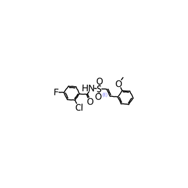 COc1ccccc1/C=C/S(=O)(=O)NC(=O)c1ccc(F)cc1Cl